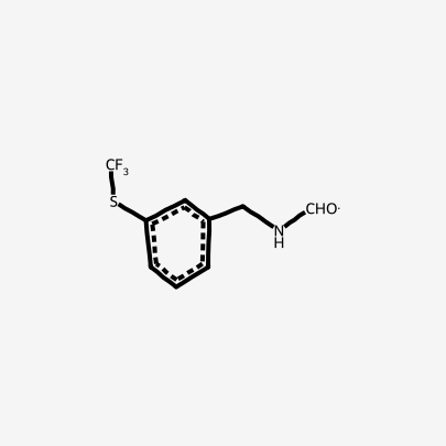 O=[C]NCc1cccc(SC(F)(F)F)c1